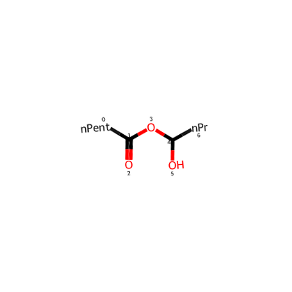 CCCCCC(=O)OC(O)CCC